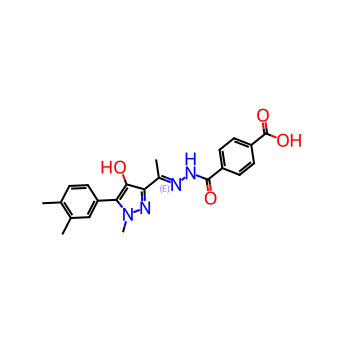 C/C(=N\NC(=O)c1ccc(C(=O)O)cc1)c1nn(C)c(-c2ccc(C)c(C)c2)c1O